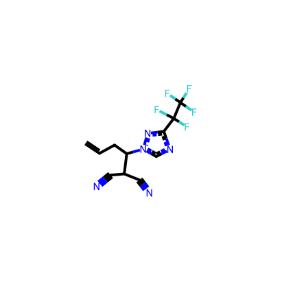 C=CCC(C(C#N)C#N)n1cnc(C(F)(F)C(F)(F)F)n1